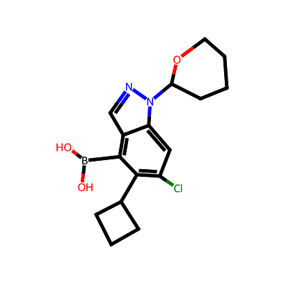 OB(O)c1c(C2CCC2)c(Cl)cc2c1cnn2C1CCCCO1